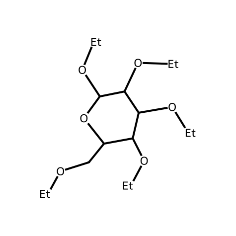 CCOCC1OC(OCC)C(OCC)C(OCC)C1OCC